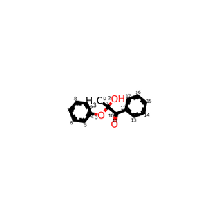 CC(O)(Oc1ccccc1)C(=O)c1ccccc1